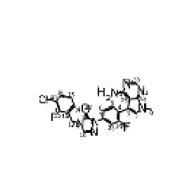 Cn1cc(-c2ccc(-n3ncn(Cc4cccc(Cl)c4F)c3=O)cc2F)c2c(N)ncnc21